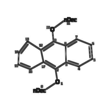 CCCCCCCCCCOc1c2ccccc2c(OCCCCCCCCCC)c2ccccc12